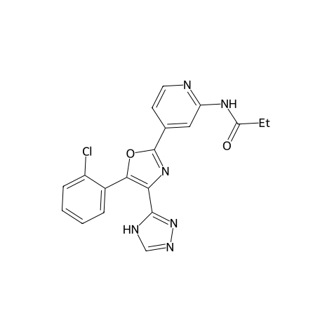 CCC(=O)Nc1cc(-c2nc(-c3nnc[nH]3)c(-c3ccccc3Cl)o2)ccn1